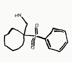 [NH]CC1(S(=O)(=O)c2ccccc2)CCCCC1